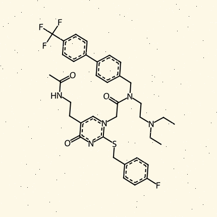 CCN(CC)CCN(Cc1ccc(-c2ccc(C(F)(F)F)cc2)cc1)C(=O)Cn1cc(CCNC(C)=O)c(=O)nc1SCc1ccc(F)cc1